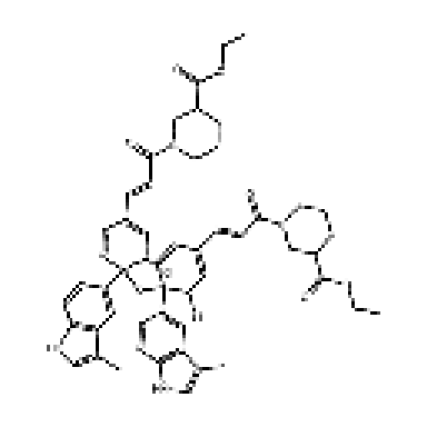 CCOC(=O)C1CCCN(C(=O)/C=C/C2=CC(Cl)C(SC3(c4ccc5[nH]cc(C)c5c4)C=CC(/C=C/C(=O)N4CCCC(C(=O)OCC)C4)=CC3Cl)(c3ccc4[nH]cc(C)c4c3)C=C2)C1